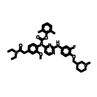 CCN(CC)C(=O)Cc1ccc(N(C(=O)Oc2c(C)cccc2C)c2ccnc(Nc3ccc(OCC4CCCN(C)C4)c(F)c3)n2)c(OC)c1